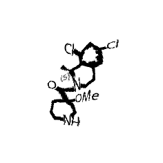 COC1(C(=O)N2CCc3cc(Cl)cc(Cl)c3[C@@H]2C)CCCNC1